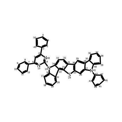 c1ccc(-c2cc(-c3ccccc3)nc(-n3c4ccccc4c4c5sc6cc7c(cc6c5ccc43)c3ccccc3n7-c3ccccc3)n2)cc1